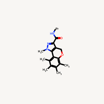 Cc1c(C)c(C)c2c(c1C)OCc1c(C(=O)NC(C)C)nn(C)c1-2